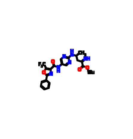 C[C@@H](CC(=N)C(=O)OC(C)(C)C)Nc1ncc(NC(=O)c2nc(-c3ccccc3)oc2C(F)(F)F)cn1